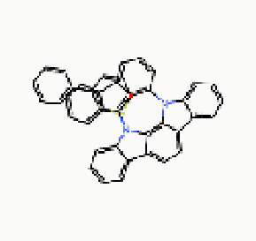 c1ccc(-c2cccc(-n3c4ccccc4c4ccc5c6ccccc6n(-c6cccc7c6sc6ccccc67)c5c43)c2)cc1